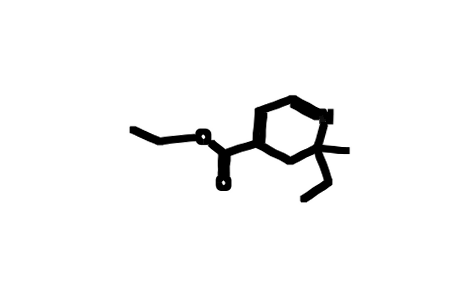 CCOC(=O)C1=CC=NC(C)(CC)C1